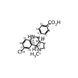 CN1CC[C@@H]2[C@@H](c3ccc(C(=O)O)cc3)Nc3ccc(Cl)cc3[C@@H]21